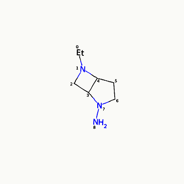 CCN1CC2C1CCN2N